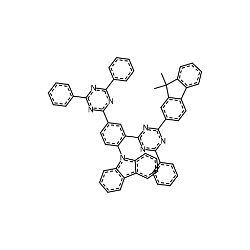 CC1(C)c2ccccc2-c2ccc(-c3nc(-c4ccccc4)nc(-c4cc(-c5nc(-c6ccccc6)nc(-c6ccccc6)n5)ccc4-n4c5ccccc5c5ccccc54)n3)cc21